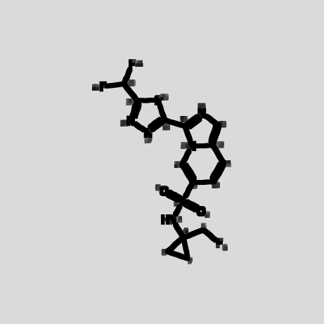 O=S(=O)(NC1(CF)CC1)c1ccc2cnc(-c3nnc(C(F)F)s3)n2c1